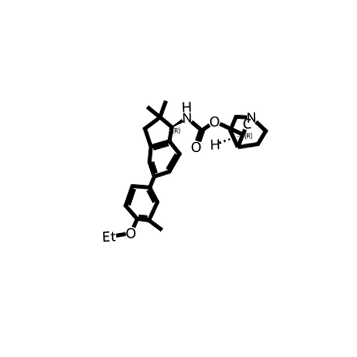 CCOc1ccc(-c2ccc3c(c2)CC(C)(C)[C@H]3NC(=O)O[C@H]2CN3CCC2CC3)cc1C